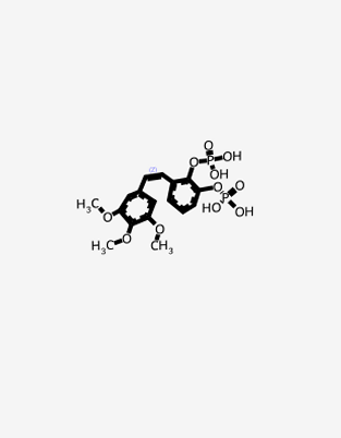 COc1cc(/C=C\c2cccc(OP(=O)(O)O)c2OP(=O)(O)O)cc(OC)c1OC